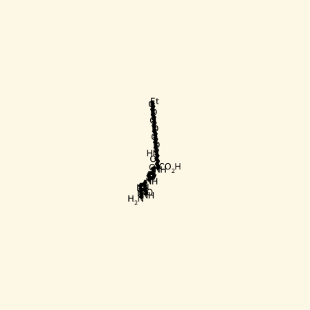 CCOCCOCCOCCOCCOCCOCCNCC(=O)CC[C@H](NC(=O)c1ccc(NCc2cnc3nc(N)[nH]c(=O)c3n2)cc1)C(=O)O